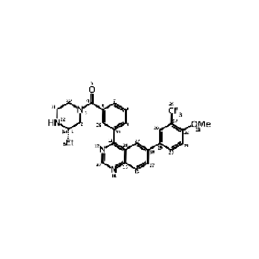 CC[C@H]1CN(C(=O)c2cccc(-c3ncnc4ccc(-c5ccc(OC)c(C(F)(F)F)c5)cc34)c2)CCN1